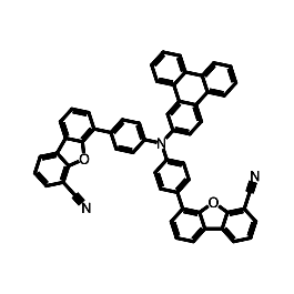 N#Cc1cccc2c1oc1c(-c3ccc(N(c4ccc(-c5cccc6c5oc5c(C#N)cccc56)cc4)c4ccc5c6ccccc6c6ccccc6c5c4)cc3)cccc12